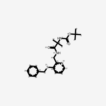 CC(C)(C)OC(=O)NC(C)(C)C(=O)NCc1ncccc1SCc1ccccc1